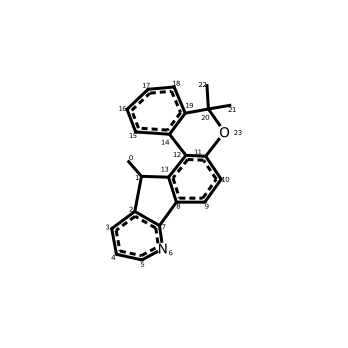 CC1c2cccnc2-c2ccc3c(c21)-c1ccccc1C(C)(C)O3